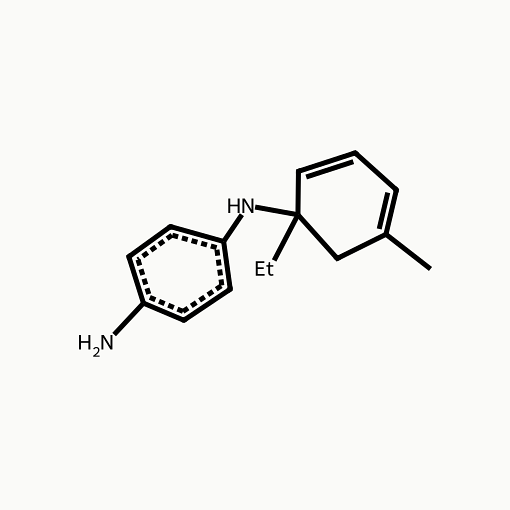 CCC1(Nc2ccc(N)cc2)C=CC=C(C)C1